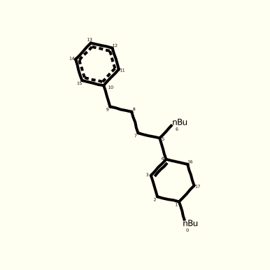 CCCCC1CC=C(C(CCCC)CCCc2ccccc2)CC1